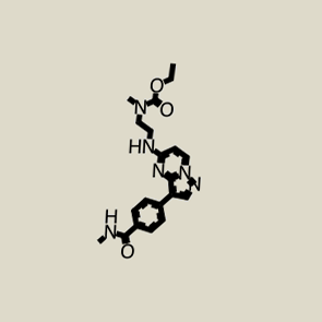 CCOC(=O)N(C)CCNc1ccn2ncc(-c3ccc(C(=O)NC)cc3)c2n1